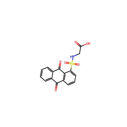 O=C(O)CNS(=O)(=O)c1cccc2c1C(=O)c1ccccc1C2=O